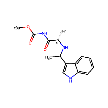 CC(N[C@H](C(=O)NC(=O)OC(C)(C)C)C(C)C)c1c[nH]c2ccccc12